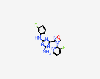 Nc1nc(Nc2cccc(F)c2)nc(C2=NOCN2c2ncccc2F)n1